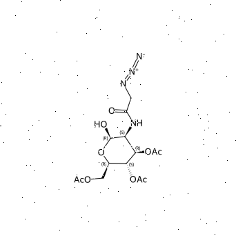 CC(=O)OC[C@H]1O[C@@H](O)[C@@H](NC(=O)CN=[N+]=[N-])[C@@H](OC(C)=O)[C@@H]1OC(C)=O